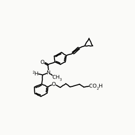 [2H]C(c1ccccc1OCCCCCC(=O)O)N(C)C(=O)c1ccc(C#CC2CC2)cc1